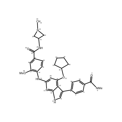 CNC(=O)c1ccc(-c2c[nH]c3nc(Nc4ccc(C(=O)NC5CN(C)C5)cc4OC)nc(OC4CCCC4)c23)cc1